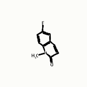 Cn1c(=O)ccc2cc(F)ccc21